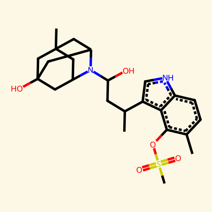 Cc1ccc2[nH]cc(C(C)CC(O)N3C4CC5(C)CC3CC(O)(C4)C5)c2c1OS(C)(=O)=O